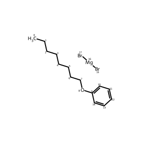 CCCCCCCCOc1cc[c]cc1.[Br][Mg][Br]